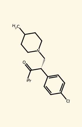 CC1CCN(C[C@@H](C(=O)C(C)C)c2ccc(Cl)cc2)CC1